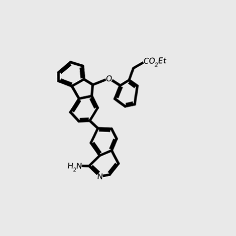 CCOC(=O)Cc1ccccc1OC1c2ccccc2-c2ccc(-c3ccc4ccnc(N)c4c3)cc21